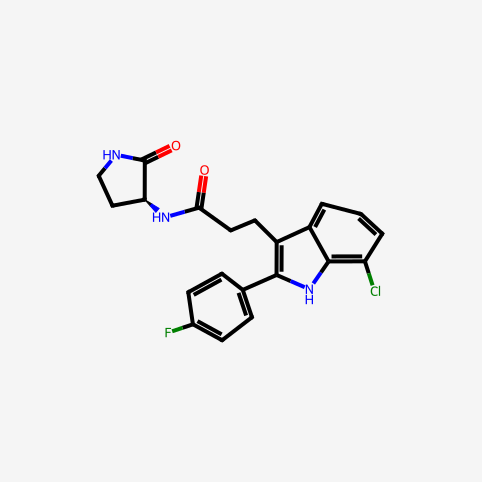 O=C(CCc1c(-c2ccc(F)cc2)[nH]c2c(Cl)cccc12)N[C@H]1CCNC1=O